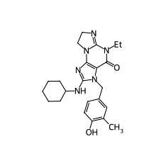 CCN1C(=O)c2c(nc(NC3CCCCC3)n2Cc2ccc(O)c(C)c2)N2CCN=C12